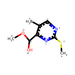 Bc1cnc(SC)nc1C(O)OC